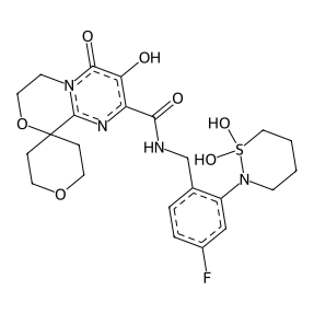 O=C(NCc1ccc(F)cc1N1CCCCS1(O)O)c1nc2n(c(=O)c1O)CCOC21CCOCC1